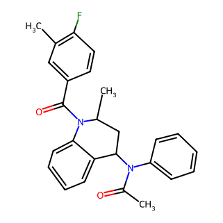 CC(=O)N(c1ccccc1)C1CC(C)N(C(=O)c2ccc(F)c(C)c2)c2ccccc21